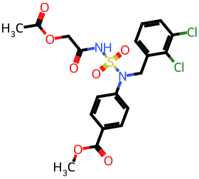 COC(=O)c1ccc(N(Cc2cccc(Cl)c2Cl)S(=O)(=O)NC(=O)COC(C)=O)cc1